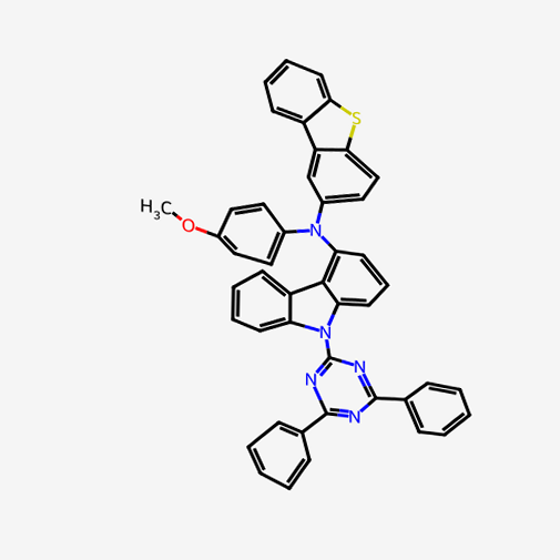 COc1ccc(N(c2ccc3sc4ccccc4c3c2)c2cccc3c2c2ccccc2n3-c2nc(-c3ccccc3)nc(-c3ccccc3)n2)cc1